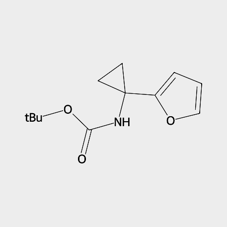 CC(C)(C)OC(=O)NC1(c2ccco2)CC1